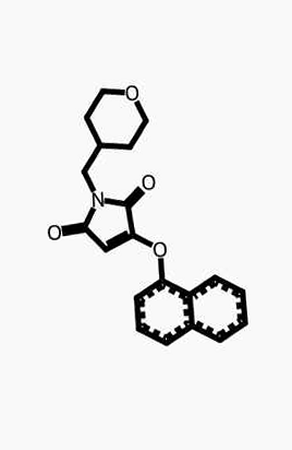 O=C1C=C(Oc2cccc3ccccc23)C(=O)N1CC1CCOCC1